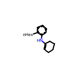 CCCCCCc1ccccc1NC1=CCCCC1